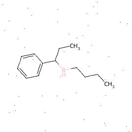 CCCCBC(CC)c1ccccc1